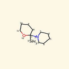 [SiH3]C1(N2CCCCC2)CCCCO1